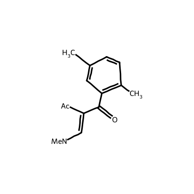 CN/C=C(\C(C)=O)C(=O)c1cc(C)ccc1C